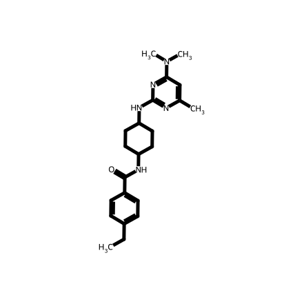 CCc1ccc(C(=O)NC2CCC(Nc3nc(C)cc(N(C)C)n3)CC2)cc1